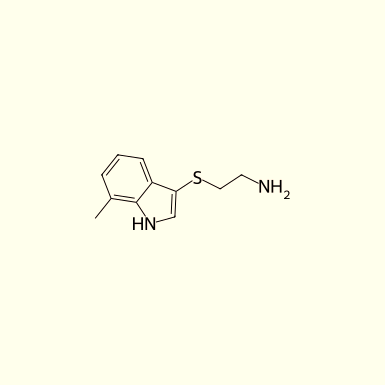 Cc1cccc2c(SCCN)c[nH]c12